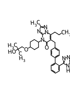 CCCc1c(Cc2ccc(-c3ccccc3-c3nnn[nH]3)cc2)c(=O)n(C2CCC(OCC(C)(C)O)CC2)c2nc(C)nn12